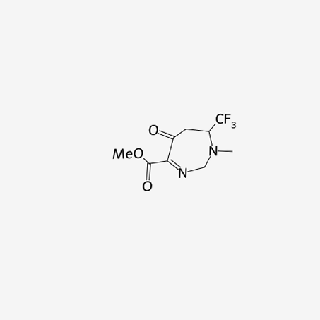 COC(=O)C1=NCN(C)C(C(F)(F)F)CC1=O